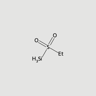 CCS(=O)(=O)[SiH3]